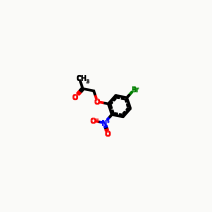 CC(=O)COc1cc(Br)ccc1[N+](=O)[O-]